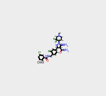 COc1ccc(F)cc1C(=O)NCc1ccc(-c2nn(C3CCN(C)CC3(F)F)c(N)c2C(N)=O)cc1F